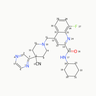 N#CC1(c2cnccn2)CCN(Cc2cc(C(=O)NC3CCCCC3)nc3c(F)cccc23)CC1